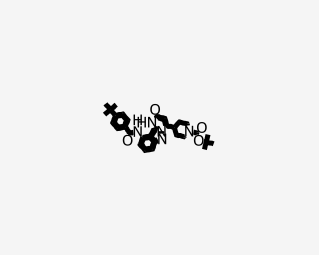 CC(C)(C)OC(=O)N1CCC(c2cc(=O)[nH]c3c4c(NC(=O)c5ccc(C(C)(C)C)cc5)cccc4nn23)CC1